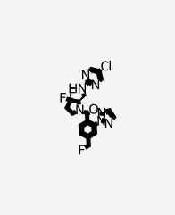 O=C(c1ccc(CF)cc1-n1nccn1)N1CCC(F)(F)[C@H]1CNc1ncc(Cl)cn1